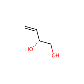 C=C[C@@H](O)CO